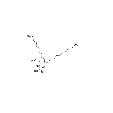 CCCCCCCCCCC(CCC)(CCCCCCCCCC)OP(=O)(O)O